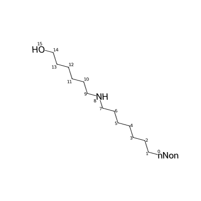 CCCCCCCCCCCCCCCCNCCCCCCO